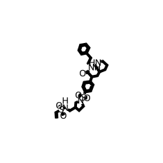 C=CS(=O)(=O)NCC1CCN(S(=O)(=O)c2ccc(C(CC3CCCNC3)C(=O)NCCc3ccccc3)cc2)C1